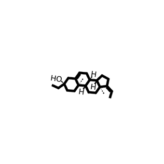 C/C=C1/CC[C@H]2[C@@H]3CC=C4C[C@](O)(CC)CC[C@]4(C)[C@H]3CC[C@]12C